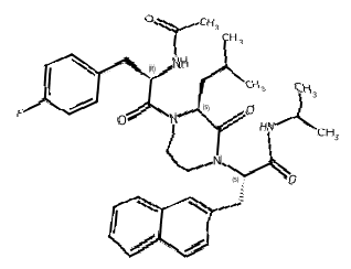 CC(=O)N[C@H](Cc1ccc(F)cc1)C(=O)N1CCN([C@@H](Cc2ccc3ccccc3c2)C(=O)NC(C)C)C(=O)[C@@H]1CC(C)C